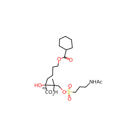 CC(=O)NCCCS(=O)(=O)OCC(C)(C)[C@](O)(CCCCOC(=O)C1CCCCC1)C(=O)O